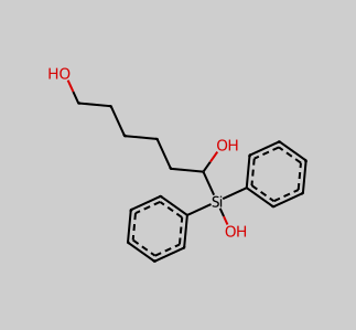 OCCCCCC(O)[Si](O)(c1ccccc1)c1ccccc1